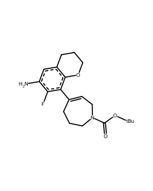 CC(C)(C)OC(=O)N1CC=C(c2c(F)c(N)cc3c2OCCC3)CCC1